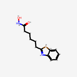 O=C(CCCCCc1nc2ccccc2s1)NO